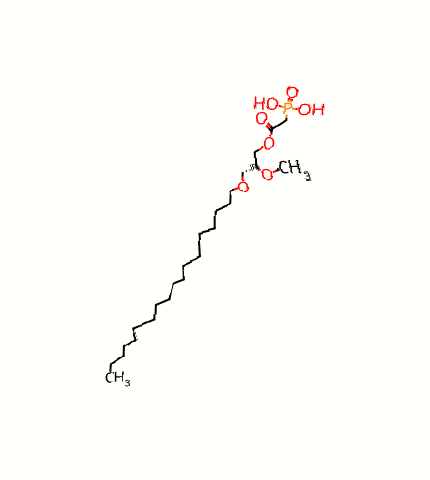 CCCCCCCCCCCCCCCCCCOC[C@H](COC(=O)CP(=O)(O)O)OC